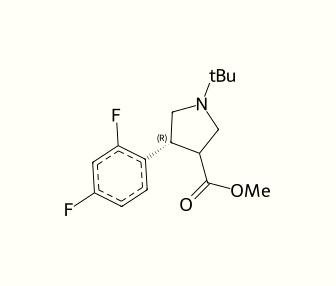 COC(=O)C1CN(C(C)(C)C)C[C@H]1c1ccc(F)cc1F